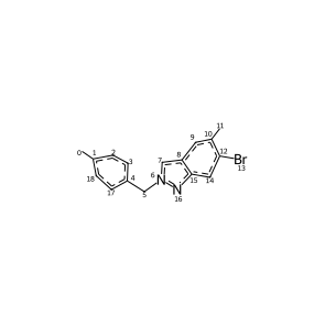 Cc1ccc(Cn2cc3cc(C)c(Br)cc3n2)cc1